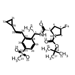 C[C@H](NC(=O)[C@@H]1C[C@@H](F)CN1C(=O)OC(C)(C)C)c1ccc(S(C)(=O)=O)cc1/C=C/C1CC1